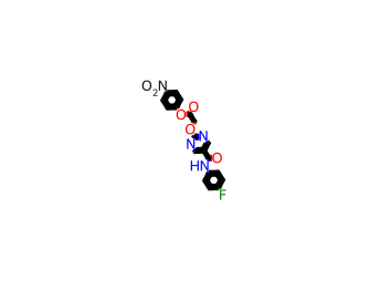 O=C(COc1ncc(C(=O)Nc2ccc(F)cc2)cn1)Oc1ccc([N+](=O)[O-])cc1